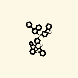 c1ccc(-c2ccc(N(c3ccc4c(c3)Oc3c(oc5ccccc35)C43c4ccccc4-c4ccccc43)c3ccc4oc5ccccc5c4c3)c3ccccc23)cc1